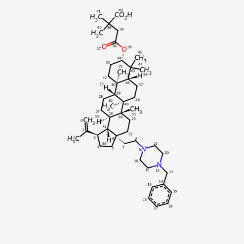 C=C(C)[C@@H]1CC[C@]2(CCN3CCN(Cc4ccccc4)CC3)CC[C@]3(C)[C@H](CC[C@@H]4[C@@]5(C)CC[C@H](OC(=O)CC(C)(C)C(=O)O)C(C)(C)[C@@H]5CC[C@]43C)[C@@H]12